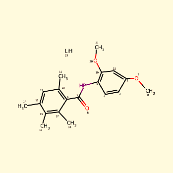 COc1ccc(PC(=O)c2c(C)cc(C)c(C)c2C)c(OC)c1.[LiH]